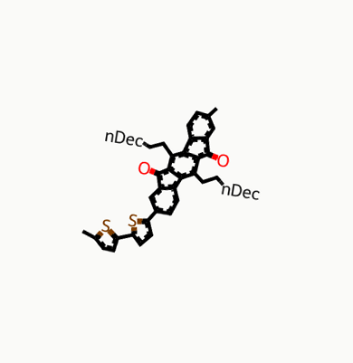 CCCCCCCCCCCCc1c2c(=O)c3cc(-c4ccc(-c5ccc(C)s5)s4)ccc3c2c(CCCCCCCCCCCC)c2c(=O)c3cc(C)ccc3c12